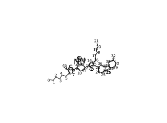 CCCCCCc1cc(-c2ccc(-c3cc(CCCCCC)c(-c4ccc5sc6ccc(C)cc6c5c4)s3)c3nsnc23)sc1C